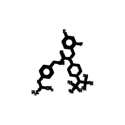 [2H]C([2H])([2H])C(N1CCC(N(Cc2ccc(F)cc2F)C(=O)NCc2ccc(OC(C)C)cc2)CC1)C([2H])([2H])[2H]